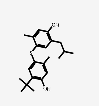 Cc1cc(O)c(CC(C)C)cc1Sc1cc(C(C)(C)C)c(O)cc1C